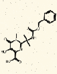 Cn1c(C(C)(C)NC(=O)OCc2ccccc2)nc(C(=O)O)c(O)c1=O